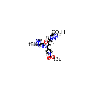 CC(C)(C)OC(=O)N1CCC(C(CCC(C)(C)n2cc(C(=O)O)nn2)NC(=O)c2cn(C(C)(C)C)nn2)CC1